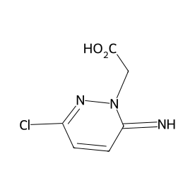 N=c1ccc(Cl)nn1CC(=O)O